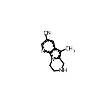 Cc1c2n(c3ncc(C#N)cc13)CCNC2